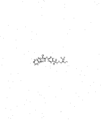 CCN(CCCS(=O)(=O)c1ccc(CNC(=O)c2cc3cnccc3[nH]2)cc1)C(C)C